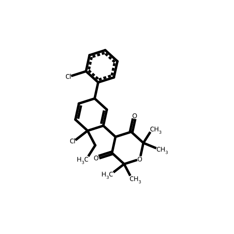 CCC1(Cl)C=CC(c2ccccc2Cl)C=C1C1C(=O)C(C)(C)OC(C)(C)C1=O